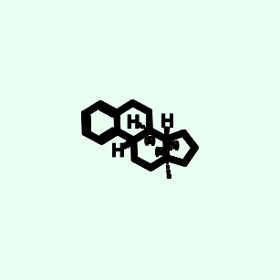 C[C@@]12CCC[C@H]1[C@@H]1CCc3ccccc3[C@H]1CC2